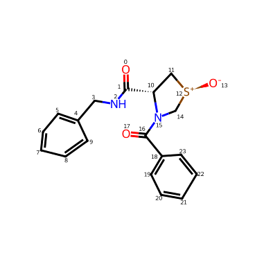 O=C(NCc1ccccc1)[C@@H]1C[S@@+]([O-])CN1C(=O)c1ccccc1